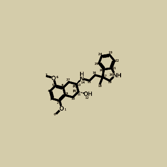 COc1ccc(OC)c2c1C[C@@H](O)[C@H](NCCC1(C)CNc3ccccc31)C2